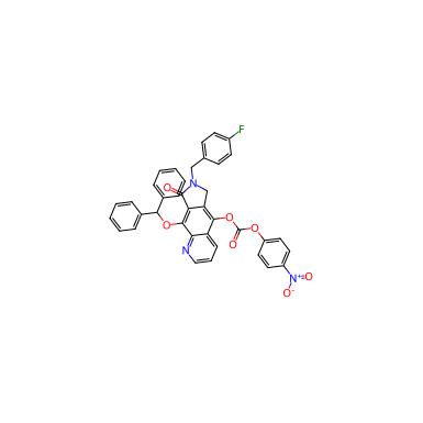 O=C(Oc1ccc([N+](=O)[O-])cc1)Oc1c2c(c(OC(c3ccccc3)c3ccccc3)c3ncccc13)C(=O)N(Cc1ccc(F)cc1)C2